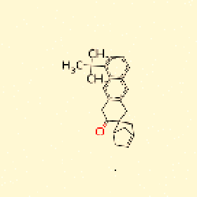 CC(C)(C)c1cccc2cc3c(cc12)CC(=O)C1(CC2=CCC1C2)C3